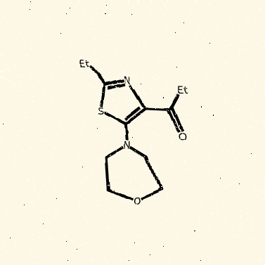 CCC(=O)c1nc(CC)sc1N1CCOCC1